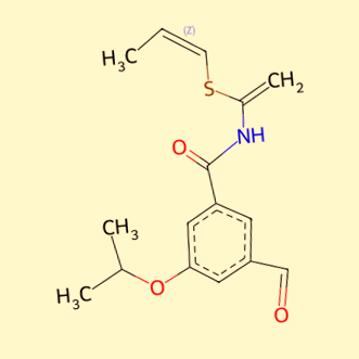 C=C(NC(=O)c1cc(C=O)cc(OC(C)C)c1)S/C=C\C